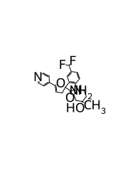 CC1(O)CCN(c2ccc(C(F)F)cc2C2(C(N)=O)CC=C(c3ccncc3)O2)CC1